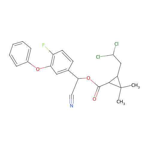 CC1(C)C(CC(Cl)Cl)C1C(=O)OC(C#N)c1ccc(F)c(Oc2ccccc2)c1